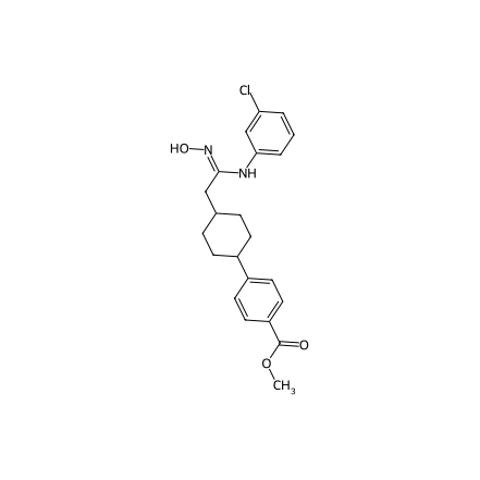 COC(=O)c1ccc(C2CCC(C/C(=N\O)Nc3cccc(Cl)c3)CC2)cc1